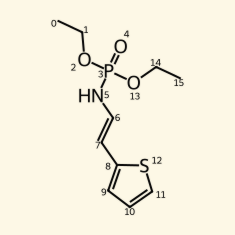 CCOP(=O)(N/C=C/c1cccs1)OCC